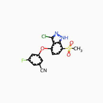 CS(=O)(=O)c1ccc(Oc2cc(F)cc(C#N)c2)c2c(Cl)n[nH]c12